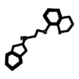 c1ccc2c(c1)CC(NCCOc1cccc3c1SCCC3)C2